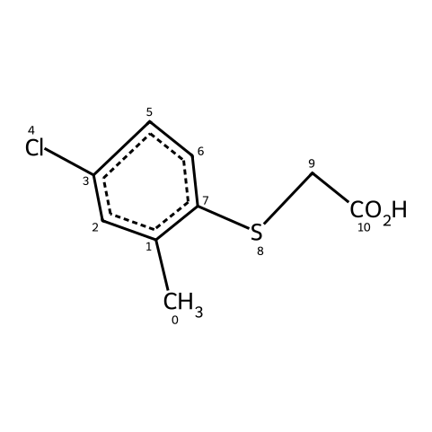 Cc1cc(Cl)ccc1SCC(=O)O